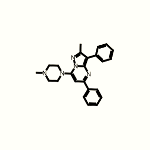 Cc1nn2c(N3CCN(C)CC3)cc(-c3ccccc3)nc2c1-c1ccccc1